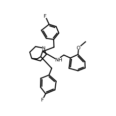 COc1ccccc1CNC1(Cc2ccc(F)cc2)C(Cc2ccc(F)cc2)CC2CCN1CC2